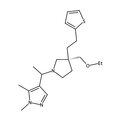 CCOC[C@]1(CCc2cccs2)CCN(C(C)c2cnn(C)c2C)C1